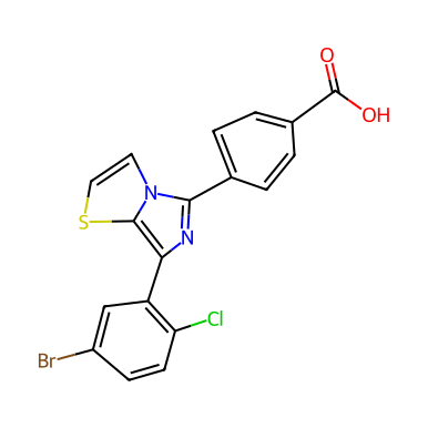 O=C(O)c1ccc(-c2nc(-c3cc(Br)ccc3Cl)c3sccn23)cc1